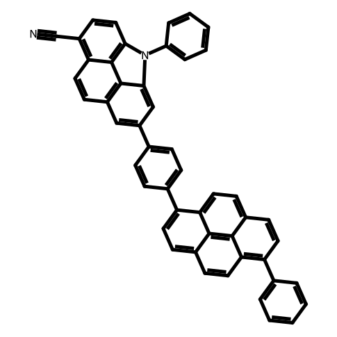 N#Cc1ccc2c3c1ccc1cc(-c4ccc(-c5ccc6ccc7c(-c8ccccc8)ccc8ccc5c6c87)cc4)cc(c13)n2-c1ccccc1